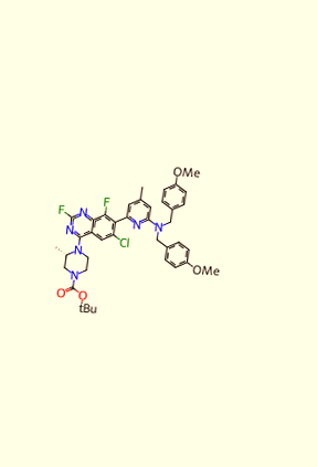 COc1ccc(CN(Cc2ccc(OC)cc2)c2cc(C)cc(-c3c(Cl)cc4c(N5CCN(C(=O)OC(C)(C)C)C[C@@H]5C)nc(F)nc4c3F)n2)cc1